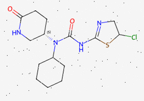 O=C1CC[C@H](N(C(=O)NC2=NCC(Cl)S2)C2CCCCC2)CN1